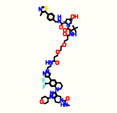 CNC(=O)N1CCc2c(c(N3CCCc4cc(-c5cnn(CCNC(=O)CCOCCOCCC(=O)N[C@H](C(=O)N6C[C@H](O)C[C@H]6C(=O)NCc6ccc(-c7scnc7C)cc6)C(C)(C)C)c5)c(C(F)F)cc43)nn2C2CCOCC2)C1